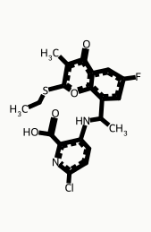 CCSc1oc2c(C(C)Nc3ccc(Cl)nc3C(=O)O)cc(F)cc2c(=O)c1C